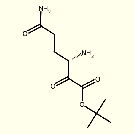 CC(C)(C)OC(=O)C(=O)[C@@H](N)CCC(N)=O